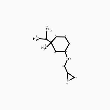 CC(C)C1(C)CCCC(OCC2CO2)C1